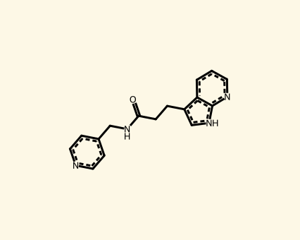 O=C(CCc1c[nH]c2ncccc12)NCc1ccncc1